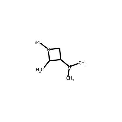 CC(C)N1CC(N(C)C)C1C